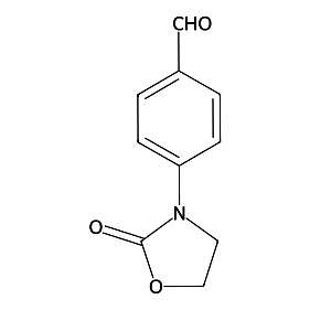 O=Cc1ccc(N2CCOC2=O)cc1